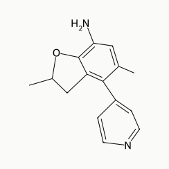 Cc1cc(N)c2c(c1-c1ccncc1)CC(C)O2